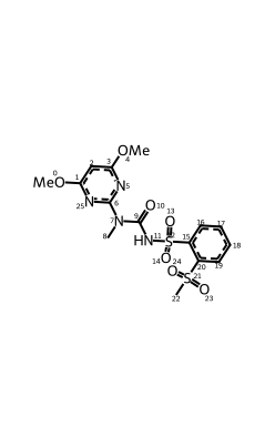 COc1cc(OC)nc(N(C)C(=O)NS(=O)(=O)c2ccccc2S(C)(=O)=O)n1